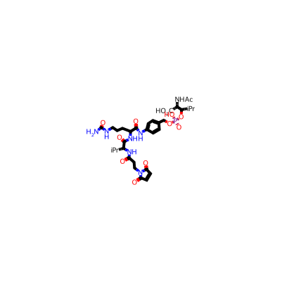 CC(=O)NC(C(=O)O)C(OP(=O)(O)OCc1ccc(NC(=O)C(CCCNC(N)=O)NC(=O)C(NC(=O)CCN2C(=O)C=CC2=O)C(C)C)cc1)C(C)C